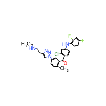 CCNCCc1cn(-c2ccc(C)c(C(=O)c3ccc(Nc4ccc(F)cc4F)cc3Cl)c2)nn1